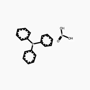 O=S(O)O.c1ccc(P(c2ccccc2)c2ccccc2)cc1